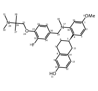 COc1ccc([C@@H]2CCc3cc(O)ccc3C2)c(N(C)Cc2ccc(OCC(C)(C)N(C)C)c(F)c2)c1